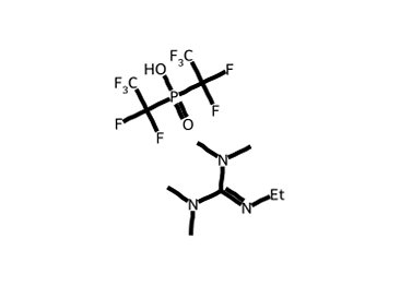 CCN=C(N(C)C)N(C)C.O=P(O)(C(F)(F)C(F)(F)F)C(F)(F)C(F)(F)F